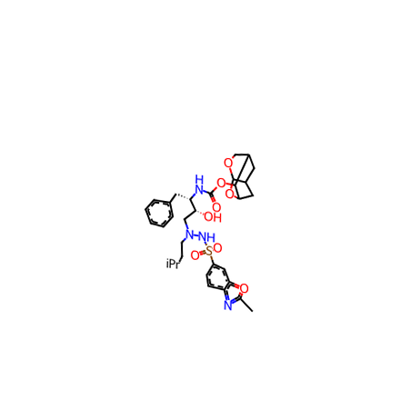 Cc1nc2ccc(S(=O)(=O)NN(CCC(C)C)C[C@@H](O)[C@H](Cc3ccccc3)NC(=O)OC3C4COC5OC3CC5C4)cc2o1